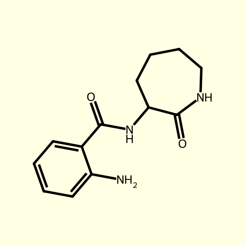 Nc1ccccc1C(=O)NC1CCCCNC1=O